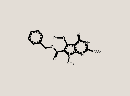 CSc1nc2c(c(OC(C)C)c(C(=O)OCc3ccccc3)n2C)c(=O)[nH]1